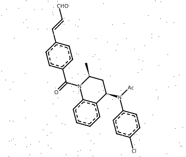 CC(=O)N(c1ccc(Cl)cc1)[C@@H]1C[C@H](C)N(C(=O)c2ccc(C=C[C]=O)cc2)c2ccccc21